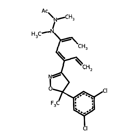 C=C/C(=C\C(=C/C)N(C)N(C)C(C)=O)C1=NOC(c2cc(Cl)cc(Cl)c2)(C(F)(F)F)C1